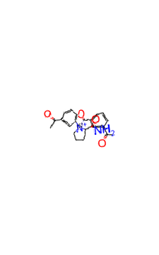 CC(=O)c1cccc(C(=O)[N@@+]2(c3cccc(C(C)=O)c3)CCCC2C(N)=O)c1